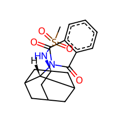 CS(=O)(=O)N[C@]12CC3CC(C1)[C@@H](N1C(=O)c4ccccc4C1=O)C(C3)C2